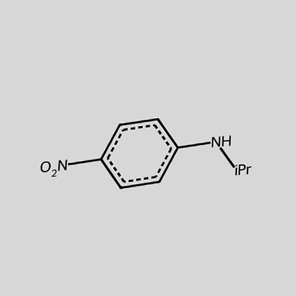 CC(C)Nc1ccc([N+](=O)[O-])cc1